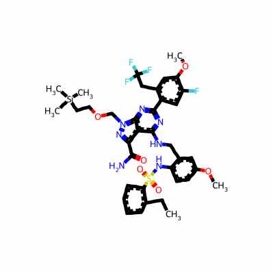 CCc1ccccc1S(=O)(=O)Nc1ccc(OC)cc1CNc1nc(-c2cc(F)c(OC)cc2CC(F)(F)F)nc2c1c(C(N)=O)nn2COCC[Si](C)(C)C